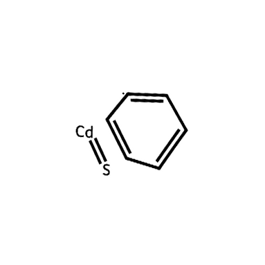 [S]=[Cd].[c]1ccccc1